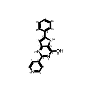 Oc1nc(-c2ccncc2)nc2cc(-c3ccccc3)sc12